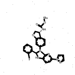 CC(C)(C)OC(=O)N[C@H]1COc2cc(N3c4nc(-n5cccn5)ccc4NC3c3ccccc3F)ccc21